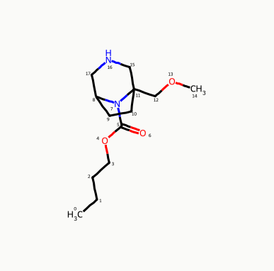 CCCCOC(=O)N1C2CCC1(COC)CNC2